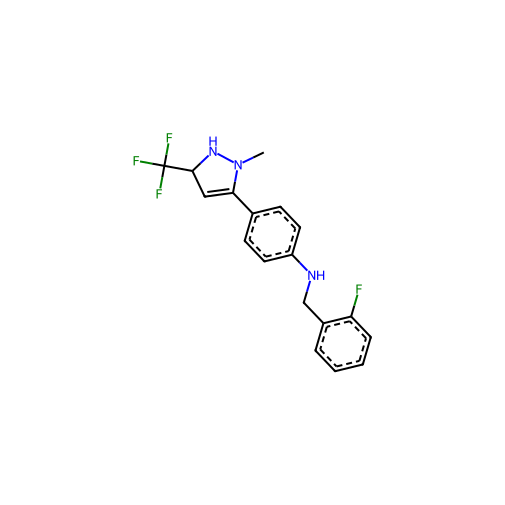 CN1NC(C(F)(F)F)C=C1c1ccc(NCc2ccccc2F)cc1